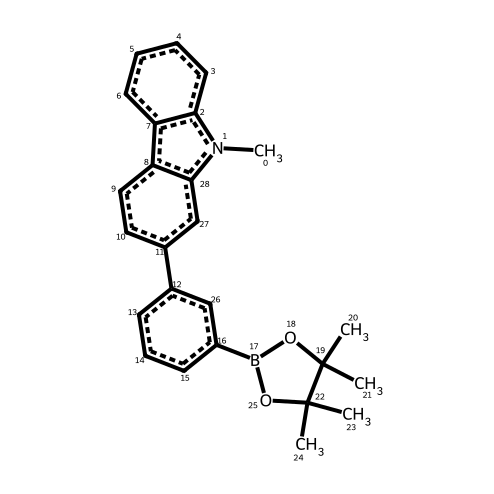 Cn1c2ccccc2c2ccc(-c3cccc(B4OC(C)(C)C(C)(C)O4)c3)cc21